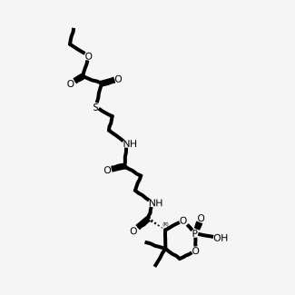 CCOC(=O)C(=O)SCCNC(=O)CCNC(=O)[C@@H]1OP(=O)(O)OCC1(C)C